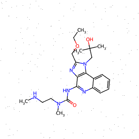 CCOCc1nc2c(NC(=O)N(C)CCNC)nc3ccccc3c2n1CC(C)(C)O